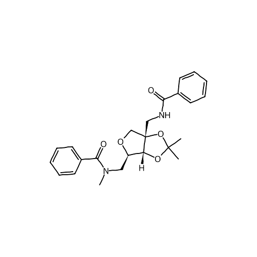 CN(C[C@H]1OC[C@]2(CNC(=O)c3ccccc3)OC(C)(C)O[C@H]12)C(=O)c1ccccc1